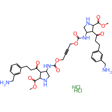 COC(=O)C1NCC(NC(=O)OCC#CCOC(=O)NC2CNC(C(=O)OC)C2C(=O)CCc2cccc(CN)c2)C1C(=O)CCc1cccc(CN)c1.Cl.Cl